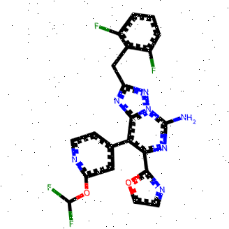 Nc1nc(-c2ncco2)c(-c2ccnc(OC(F)F)c2)c2nc(Cc3c(F)cccc3F)nn12